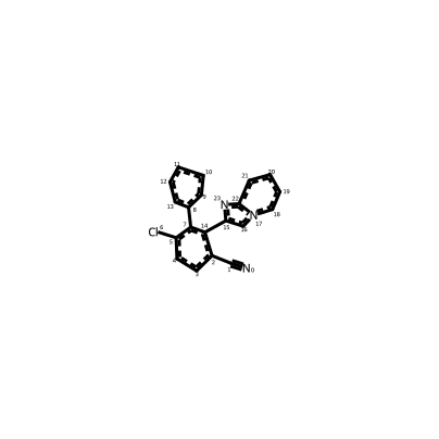 N#Cc1ccc(Cl)c(-c2ccccc2)c1-c1cn2ccccc2n1